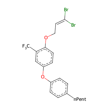 CCCCCc1ccc(Oc2ccc(OCC=C(Br)Br)c(C(F)(F)F)c2)cc1